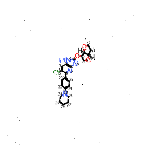 Clc1cc2[nH]c(OC3CO[C@@H]4CCO[C@H]34)nc2nc1-c1ccc(N2CCCCC2)cc1